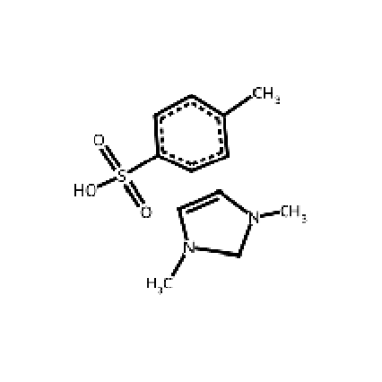 CN1C=CN(C)C1.Cc1ccc(S(=O)(=O)O)cc1